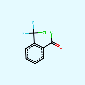 O=C(Cl)c1ccccc1C(F)(F)Cl